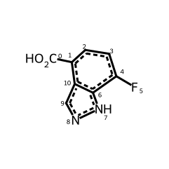 O=C(O)c1ccc(F)c2[nH]ncc12